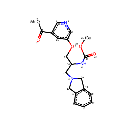 COC(=O)c1cncc(OCC(CN2Cc3ccccc3C2)NC(=O)OC(C)(C)C)c1